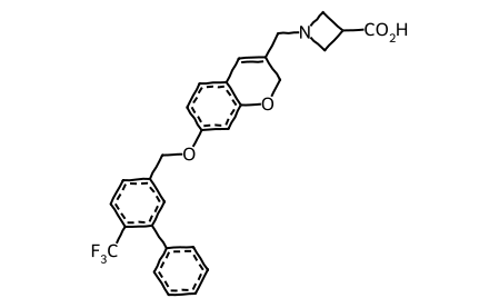 O=C(O)C1CN(CC2=Cc3ccc(OCc4ccc(C(F)(F)F)c(-c5ccccc5)c4)cc3OC2)C1